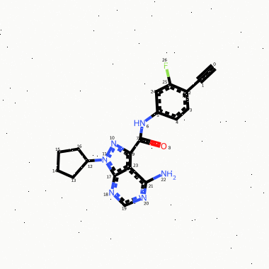 C#Cc1ccc(NC(=O)c2nn(C3CCCC3)c3ncnc(N)c23)cc1F